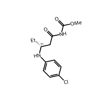 CC[C@H](CC(=O)NC(=O)OC)Nc1ccc(Cl)cc1